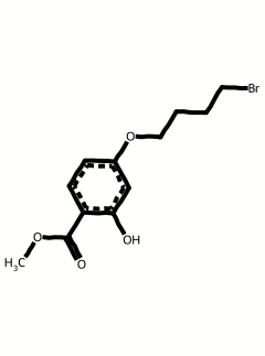 COC(=O)c1ccc(OCCCCBr)cc1O